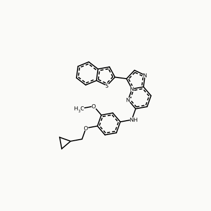 COc1cc(Nc2ccc3ncc(-c4cc5ccccc5s4)n3n2)ccc1OCC1CC1